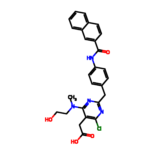 CN(CCO)c1nc(Cc2ccc(NC(=O)c3ccc4ccccc4c3)cc2)nc(Cl)c1CC(=O)O